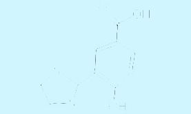 O=C(O)c1ccc(O)c(C2SCCS2)c1